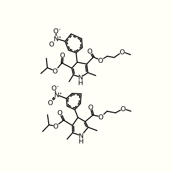 COCCOC(=O)C1=C(C)NC(C)=C(C(=O)OC(C)C)C1c1cccc([N+](=O)[O-])c1.COCCOC(=O)C1=C(C)NC(C)=C(C(=O)OC(C)C)C1c1cccc([N+](=O)[O-])c1